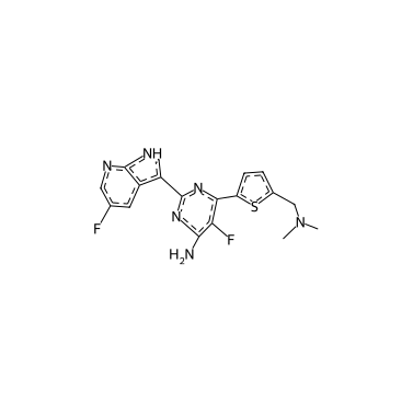 CN(C)Cc1ccc(-c2nc(-c3c[nH]c4ncc(F)cc34)nc(N)c2F)s1